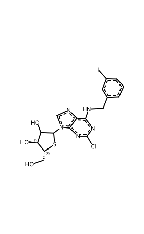 OC[C@H]1SC(n2cnc3c(NCc4cccc(I)c4)nc(Cl)nc32)C(O)[C@@H]1O